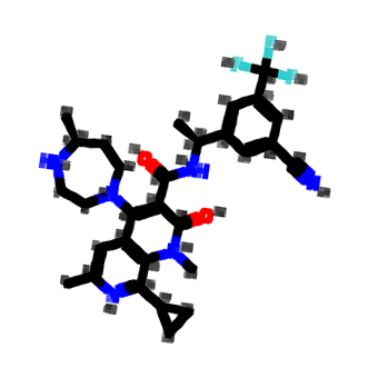 Cc1cc2c(N3CCN[C@@H](C)CC3)c(C(=O)N[C@@H](C)c3cc(C#N)cc(C(F)(F)F)c3)c(=O)n(C)c2c(C2CC2)n1